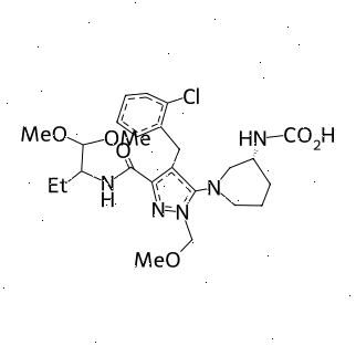 CCC(NC(=O)c1nn(COC)c(N2CCC[C@@H](NC(=O)O)C2)c1Cc1ccccc1Cl)C(OC)OC